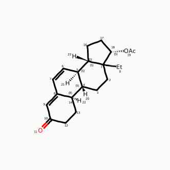 CCC12CC[C@H]3[C@@H](C=CC4=CC(=O)CC[C@@H]43)[C@@H]1CC[C@@H]2OC(C)=O